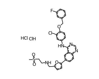 CS(=O)(=O)CCNCc1ccc(-c2ccc3ncnc(Nc4ccc(OCc5cccc(F)c5)c(Cl)c4)c3c2)o1.Cl.Cl